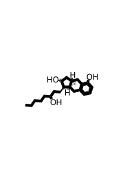 CCCCCC(O)CC[C@@H]1[C@H]2Cc3cccc(O)c3C[C@H]2C[C@H]1O